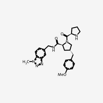 COc1ccc(C[C@@H]2C[C@@H](C(=O)NCc3ccc4c(c3)nnn4C)N(C(=O)[C@H]3CCCN3)C2)cc1